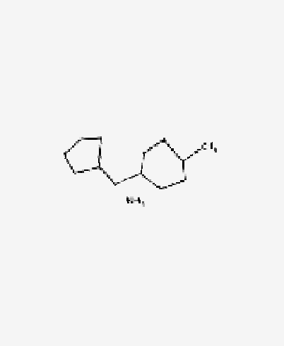 CC1CCC(CC2CCCC2)CC1.N